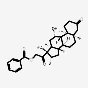 C[C@H]1C[C@H]2[C@@H]3CC[C@@H]4CC(=O)CC[C@]4(C)[C@@]3(F)[C@@H](O)C[C@]2(C)[C@@]1(O)C(=O)COC(=O)c1ccccc1